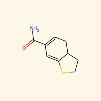 NC(=O)C1=CCC2CCSC2=C1